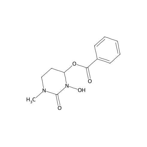 CN1CCC(OC(=O)c2ccccc2)N(O)C1=O